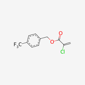 C=C(Cl)C(=O)OCc1ccc(C(F)(F)F)cc1